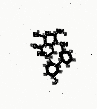 CCc1nc(N)nc2c1C(=O)N[C@@H](c1ccc(F)cc1-c1cccc(O)n1)C2